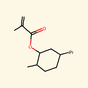 C=C(C)C(=O)OC1CC(C(C)C)CCC1C